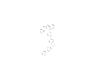 CC1(C)c2ccccc2-c2c1cc1ccccc1c2-c1ccc(-c2ccc(Nc3ccc(-c4ccccc4)cc3)cc2)cc1